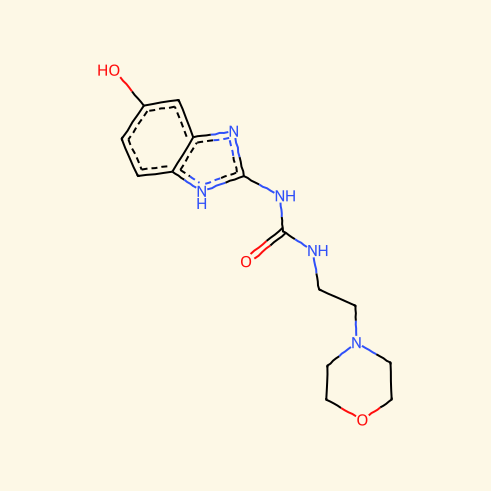 O=C(NCCN1CCOCC1)Nc1nc2cc(O)ccc2[nH]1